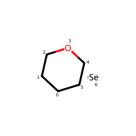 C1CCOCC1.[Se]